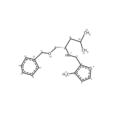 Cc1ccsc1CN[C@H](COCc1ccccc1)CC(C)C